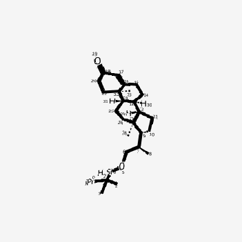 CC(C)C(C)(C)[SiH2]OC[C@H](C)[C@H]1CC[C@H]2[C@@H]3CCC4=CC(=O)CC[C@]4(C)[C@H]3CC[C@]12C